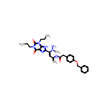 C=C(/C=C(/c1nc2c(=O)n(CCC)c(=O)n(CCC)c2[nH]1)N(C)N)NC(=O)Cc1ccc(OCc2ccccc2)cc1